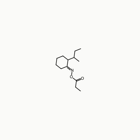 CCC(=O)ON=C1CCCCC1C(C)CC